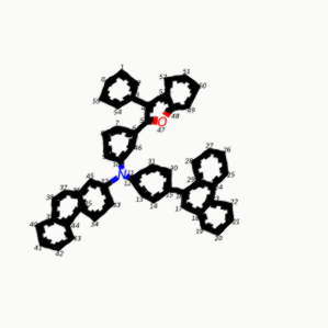 c1ccc(-c2c(-c3cccc(N(c4ccc(-c5cc6ccccc6c6ccccc56)cc4)c4ccc5c(ccc6ccccc65)c4)c3)oc3ccccc23)cc1